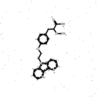 COC(Cc1ccc(OCCn2c3cccnc3c3ncccc32)cc1)C(=O)O